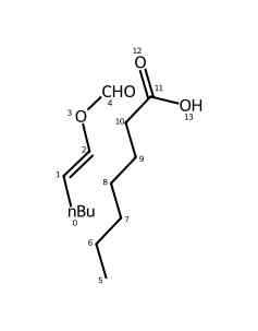 CCCCC=COC=O.CCCCCCC(=O)O